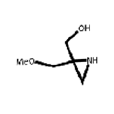 COCC1(CO)CN1